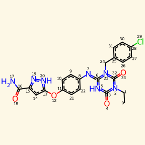 CCn1c(=O)[nH]/c(=N\c2ccc(Oc3cc(C(N)=O)n[nH]3)cc2)n(Cc2ccc(Cl)cc2)c1=O